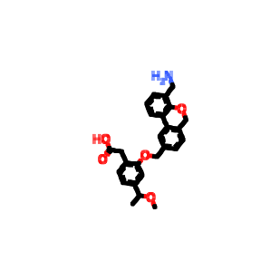 COC(C)c1ccc(CC(=O)O)c(OCc2ccc3c(c2)-c2cccc(CN)c2OC3)c1